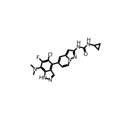 CN(C)c1c(F)c(Cl)c(-c2ccn3nc(NC(=O)NC4CC4)cc3c2)c2cn[nH]c12